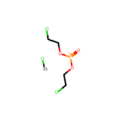 CCCl.O=[PH](OCCCl)OCCCl